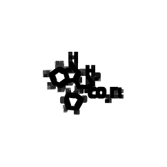 CCOC(=O)[C@H](N)[C@H](c1ccccc1)c1c[nH]c2ccccc12